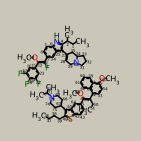 CCC(C)c1[nH]c2ccc(C(F)=C(OC)c3cc(F)c(F)c(F)c3)cc2c1C1=CCN2CCCC2C1.CCCCc1sc2ccc(C(OC)=C(CC)c3ccc(OC)c4ccccc34)cc2c1C1CCN(C(C)C)CC1